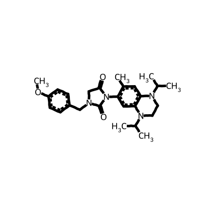 COc1ccc(CN2CC(=O)N(c3cc4c(cc3C)N(C(C)C)CCN4C(C)C)C2=O)cc1